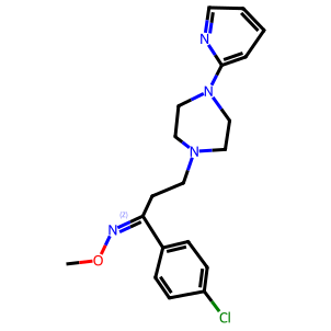 CO/N=C(/CCN1CCN(c2ccccn2)CC1)c1ccc(Cl)cc1